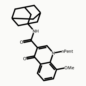 CCCCCn1cc(C(=O)NC23CC4CC(CC(C4)C2)C3)c(=O)c2cccc(OC)c21